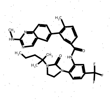 CCCC(C)(C)N1CCN(c2ccc(C(F)(F)F)cc2NC(=O)c2ccc(C)c(-c3ccc4nc(NC)ncc4c3)c2)C1=O